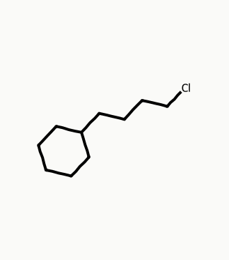 ClCCCCC1CCCCC1